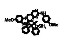 COc1ccc(Nc2ncc3c(n2)N(C(C)(O[SiH3])C(c2ccccc2)(c2ccccc2)C(C)(C)C)C(=O)N(c2ccc(OC)cc2F)C3)cc1